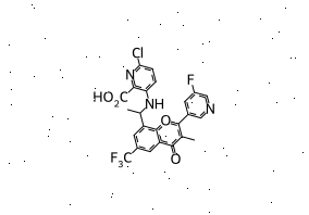 Cc1c(-c2cncc(F)c2)oc2c(C(C)Nc3ccc(Cl)nc3C(=O)O)cc(C(F)(F)F)cc2c1=O